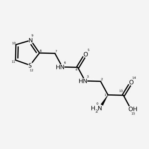 N[C@@H](CNC(=O)NCc1nccs1)C(=O)O